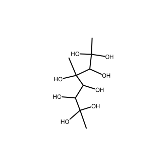 CC(O)(O)C(O)C(O)C(C)(O)C(O)C(C)(O)O